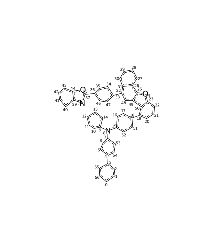 c1ccc(-c2ccc(N(c3ccccc3)c3ccc(-c4cccc5oc6c7ccccc7c(-c7ccc(-c8nc9ccccc9o8)cc7)cc6c45)cc3)cc2)cc1